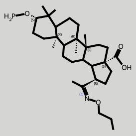 CCCO/N=C(/C)[C@@H]1CC[C@]2(C(=O)O)CC[C@]3(C)C(CCC4[C@@]5(C)CC[C@H](OP)C(C)(C)C5CC[C@]43C)C12